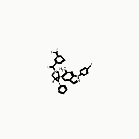 Cc1cc2c(cnn2-c2ccc(F)cc2)cc1[C@]12CN(C(=O)c3cccc(C(F)F)c3)C[C@H]1[C@@H]2c1ccccc1